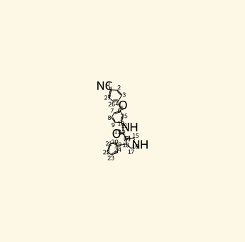 N#Cc1ccc(Oc2cccc(NC(=O)[C@H]3CNCC3c3ccccc3)c2)cc1